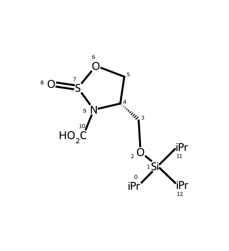 CC(C)[Si](OC[C@H]1COS(=O)N1C(=O)O)(C(C)C)C(C)C